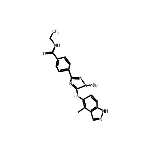 CCCCn1nc(-c2ccc(C(=O)NCC(F)(F)F)cc2)nc1Nc1ccc2[nH]ncc2c1C